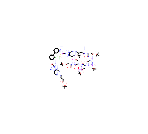 Cn1c(C(=O)Nc2cccc(-c3cccc(NC(=O)c4nc5c(n4C)CCN(CCCC(=O)OC(C)(C)C)C5)c3Cl)c2Cl)nc2c1CCN(CCCC(=O)N[C@@H](CC(=O)OC(C)(C)C)C(=O)N[C@@H](CC(=O)OC(C)(C)C)C(=O)N[C@@H](CC(=O)OC(C)(C)C)C(=O)N[C@@H](CC(=O)OC(C)(C)C)C(=O)N[C@@H](CC(=O)OC(C)(C)C)C(=O)O)C2